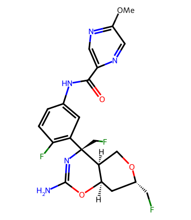 COc1cnc(C(=O)Nc2ccc(F)c([C@@]3(CF)N=C(N)O[C@@H]4C[C@@H](CF)OC[C@@H]43)c2)cn1